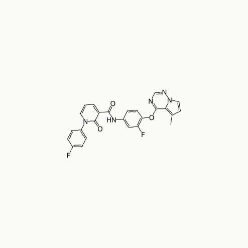 Cc1ccn2ncnc(Oc3ccc(NC(=O)c4cccn(-c5ccc(F)cc5)c4=O)cc3F)c12